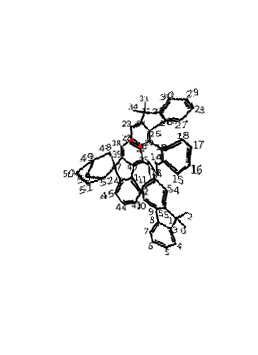 CC1(C)c2ccccc2-c2ccc(N(c3ccccc3-c3cccc4c3-c3ccccc3C4(C)C)c3cccc4c3-c3ccccc3C43CC4CCC3C4)cc21